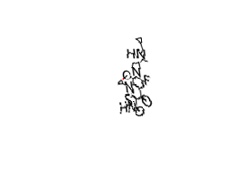 COc1c(N2CC[C@@H](C(C)NCC3CC3)C2)c(F)cc2c(=O)c3c(=O)[nH]sc3n(C3CC3)c12